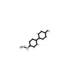 CCCOC1CCC(C2CCC(C)CC2)CC1